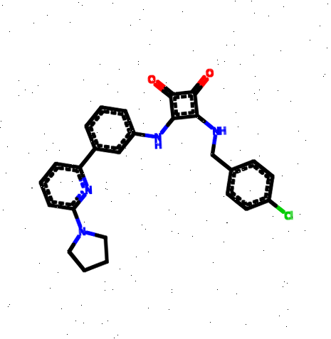 O=c1c(NCc2ccc(Cl)cc2)c(Nc2cccc(-c3cccc(N4CCCC4)n3)c2)c1=O